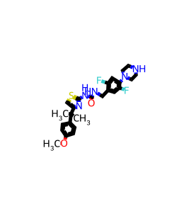 COc1ccc(C(C)(C)c2csc(NC(=O)NCc3cc(F)c(N4CCNCC4)cc3F)n2)cc1